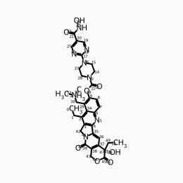 CCc1c2c(nc3ccc(OC(=O)N4CCN(c5ncc(C(=O)NO)cn5)CC4)c(CN(C)C)c13)-c1cc3c(c(=O)n1C2)COC(=O)[C@]3(O)CC